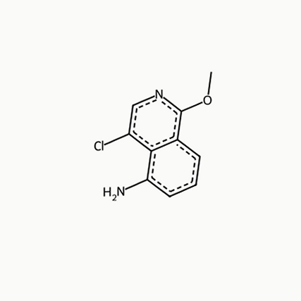 COc1ncc(Cl)c2c(N)cccc12